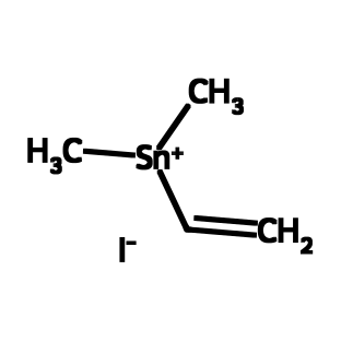 C=[CH][Sn+]([CH3])[CH3].[I-]